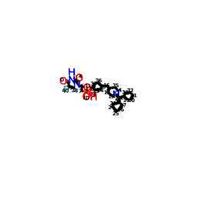 O=c1[nH]c(=O)n(CCP(=O)(O)Oc2ccc(CC3CCN(C(c4ccccc4)c4ccccc4)CC3)cc2)cc1F